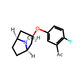 CC(=O)c1cc(O[C@H]2C[C@H]3CC[C@@H](C2)N3C(=O)O)ccc1F